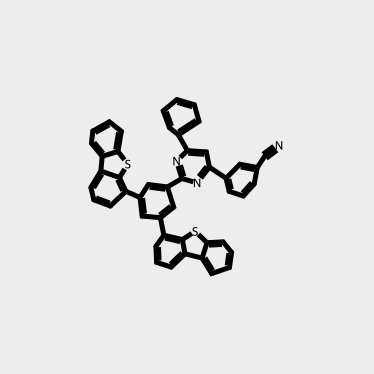 N#Cc1cccc(-c2cc(-c3ccccc3)nc(-c3cc(-c4cccc5c4sc4ccccc45)cc(-c4cccc5c4sc4ccccc45)c3)n2)c1